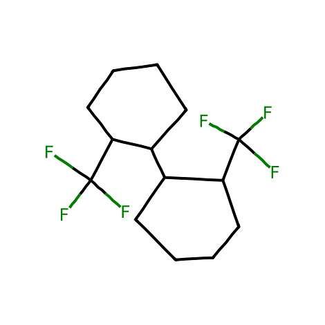 FC(F)(F)C1CCCCC1C1CCCCC1C(F)(F)F